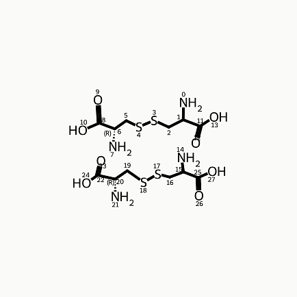 NC(CSSC[C@H](N)C(=O)O)C(=O)O.NC(CSSC[C@H](N)C(=O)O)C(=O)O